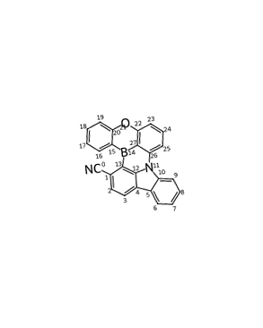 N#Cc1ccc2c3ccccc3n3c2c1B1c2ccccc2Oc2cccc-3c21